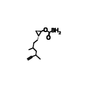 BC(=O)O[C@@H]1C[C@H]1CCC(C)CC(C)C#C